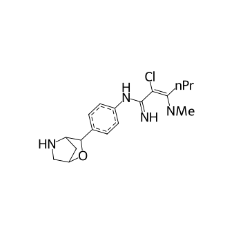 CCC/C(NC)=C(\Cl)C(=N)Nc1ccc(C2OC3CNC2C3)cc1